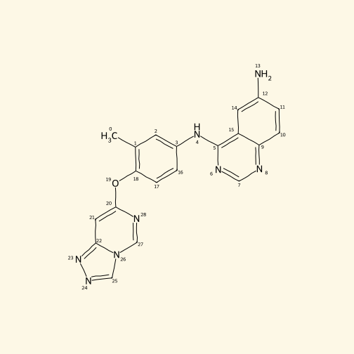 Cc1cc(Nc2ncnc3ccc(N)cc23)ccc1Oc1cc2nncn2cn1